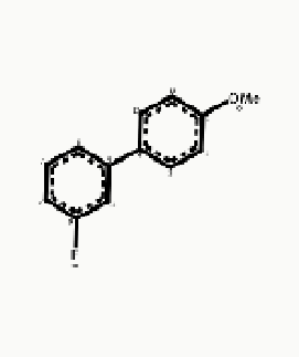 COc1ccc(-c2[c]ccc(F)c2)cc1